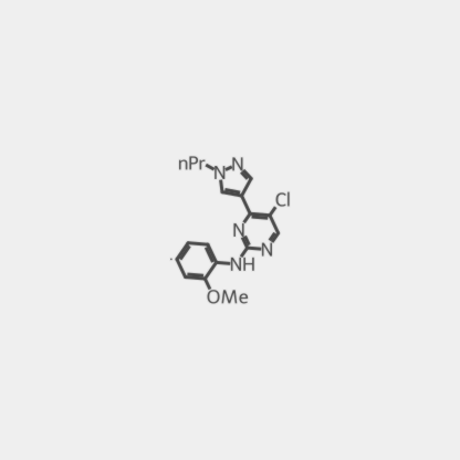 CCCn1cc(-c2nc(Nc3cc[c]cc3OC)ncc2Cl)cn1